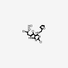 CCC(N)Cc1[nH]c2nc(Cl)nc(NCc3ccco3)c2c1Cl.Cl